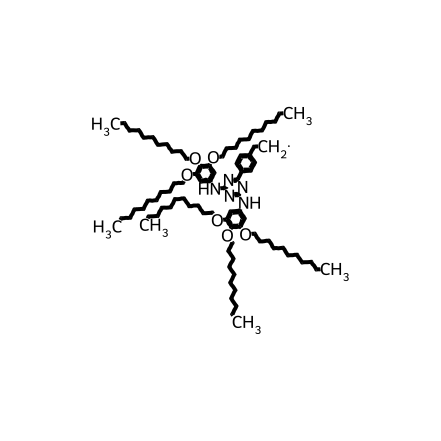 [CH2]Cc1ccc(-c2nc(Nc3cc(OCCCCCCCCCCC)c(OCCCCCCCCCCC)c(OCCCCCCCCCCC)c3)nc(Nc3cc(OCCCCCCCCCCC)c(OCCCCCCCCCCC)c(OCCCCCCCCCCC)c3)n2)cc1